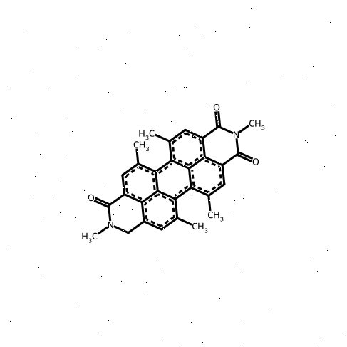 Cc1cc2c3c(cc(C)c4c5c(C)cc6c7c(cc(C)c(c1c34)c75)C(=O)N(C)C6=O)C(=O)N(C)C2